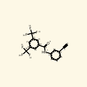 C#Cc1cccc(NC(=O)c2cc(C(F)(F)F)cc(C(F)(F)F)c2)c1